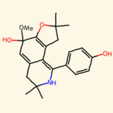 COC1(O)C=C2CC(C)(C)NC(c3ccc(O)cc3)=C2C2=C1OC(C)(C)C2